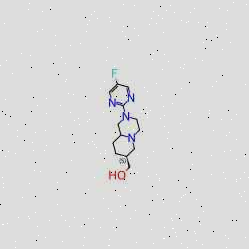 OC[C@H]1CCC2CN(c3ncc(F)cn3)CCN2C1